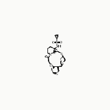 O=C1COc2ncncc2C2CCC(CC2)OC[C@H]2C(NS(=O)(=O)C3CC3)CCCN12